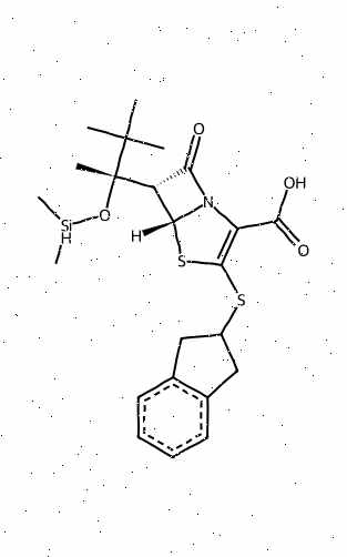 C[SiH](C)O[C@@](C)([C@@H]1C(=O)N2C(C(=O)O)=C(SC3Cc4ccccc4C3)S[C@H]12)C(C)(C)C